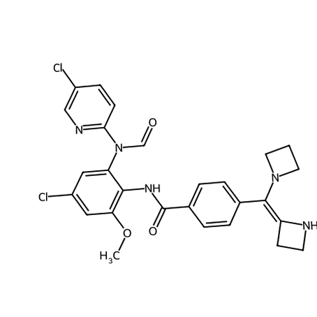 COc1cc(Cl)cc(N(C=O)c2ccc(Cl)cn2)c1NC(=O)c1ccc(C(=C2CCN2)N2CCC2)cc1